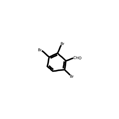 O=Cc1c(Br)ccc(Br)c1Br